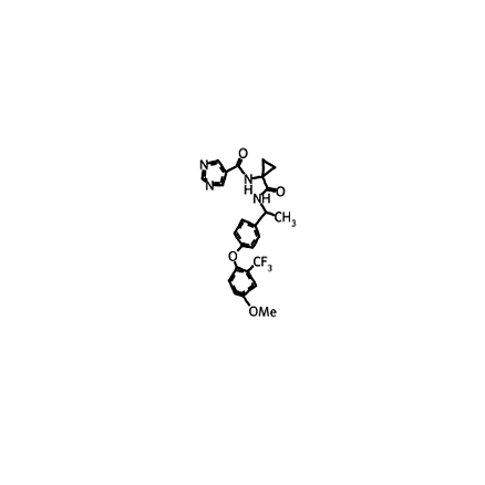 COc1ccc(Oc2ccc(C(C)NC(=O)C3(NC(=O)c4cncnc4)CC3)cc2)c(C(F)(F)F)c1